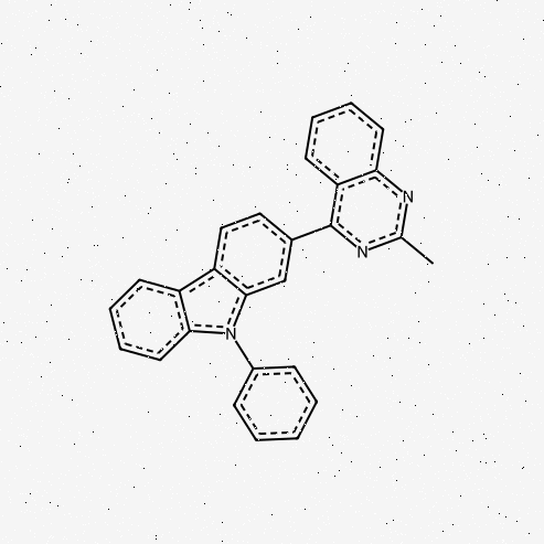 Cc1nc(-c2ccc3c4ccccc4n(-c4ccccc4)c3c2)c2ccccc2n1